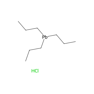 CC[CH2][Pb]([CH2]CC)[CH2]CC.Cl